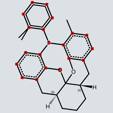 Cc1ccccc1P(c1ccccc1C)c1cccc2c1OC13Oc4c(cccc4P(c4ccccc4C)c4ccccc4C)C[C@@H]1CCC[C@H]3C2